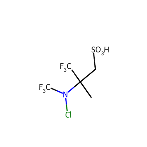 CC(CS(=O)(=O)O)(N(Cl)C(F)(F)F)C(F)(F)F